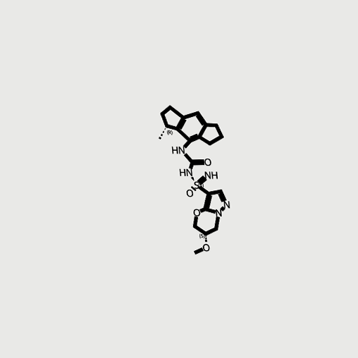 CO[C@@H]1COc2c([S@](=N)(=O)NC(=O)Nc3c4c(cc5c3[C@H](C)CC5)CCC4)cnn2C1